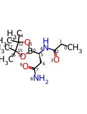 CCC(=O)N[C@@H](CC(N)=O)B1OC(C)(C)C(C)(C)O1